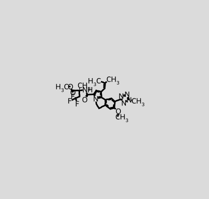 COC(=O)[C@](C)(CC(F)(F)F)NC(=O)c1cc(C=C(C)C)c2n1CCc1cc(OC)c(-c3nnn(C)n3)cc1-2